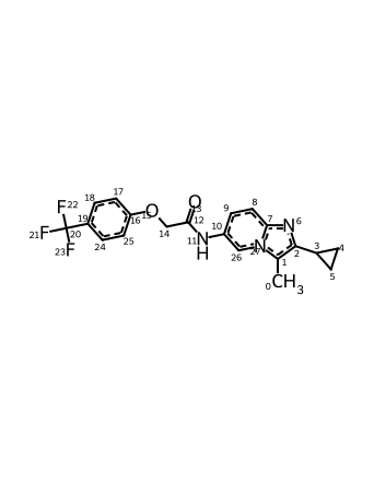 Cc1c(C2CC2)nc2ccc(NC(=O)COc3ccc(C(F)(F)F)cc3)cn12